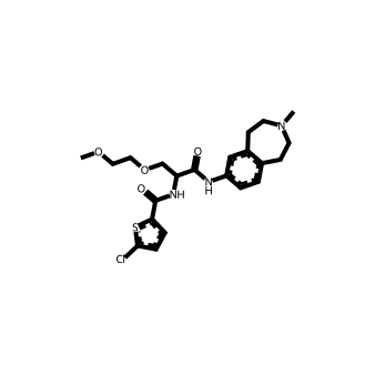 COCCOCC(NC(=O)c1ccc(Cl)s1)C(=O)Nc1ccc2c(c1)CCN(C)CC2